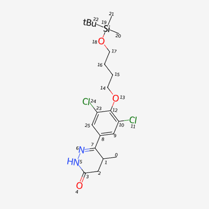 CC1CC(=O)NN=C1c1cc(Cl)c(OCCCCO[Si](C)(C)C(C)(C)C)c(Cl)c1